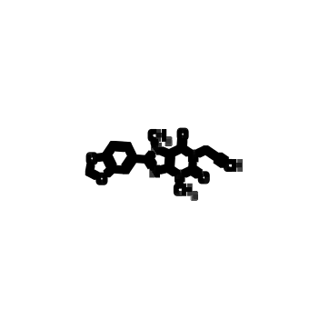 C#CCn1c(=O)c2c(nc(-c3ccc4c(c3)OCO4)n2C)n(C)c1=O